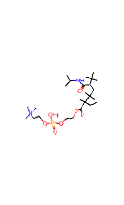 CCC(C)(C(=O)OCCOP(=O)(O)OCC[N+](C)(C)C)C(C)(C)CC(C(=O)NC(C)C)C(C)(C)C